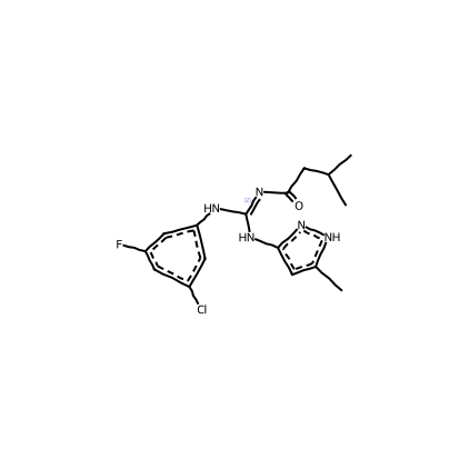 Cc1cc(N/C(=N\C(=O)CC(C)C)Nc2cc(F)cc(Cl)c2)n[nH]1